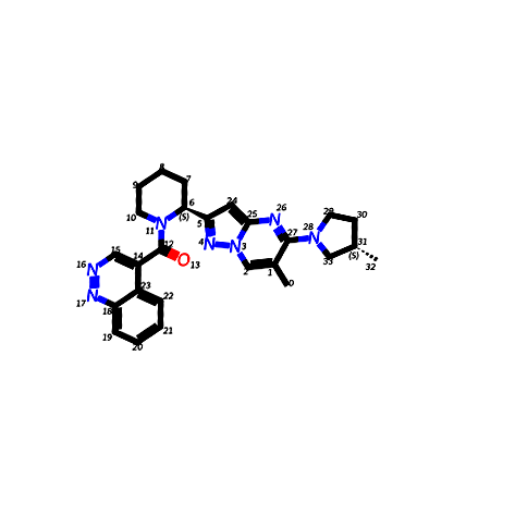 Cc1cn2nc([C@@H]3CCCCN3C(=O)c3cnnc4ccccc34)cc2nc1N1CC[C@H](C)C1